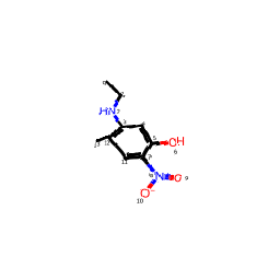 CCNc1cc(O)c([N+](=O)[O-])cc1C